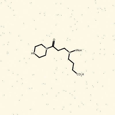 CCCCCCCCCN(CCCC(=O)O)CCC(=O)N1CCNCC1